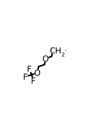 [CH2]COCCOC(F)(F)F